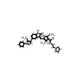 Cc1[nH]c(/C=C2\C(=O)Nc3ccc(-c4cnn(-c5ccccc5)c4C)cc32)c(C)c1C(=O)NCCN1CCCC1